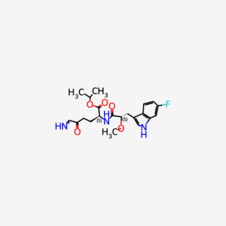 CO[C@@H](Cc1c[nH]c2cc(F)ccc12)C(=O)N[C@@H](CCC(=O)C=N)C(=O)OC(C)C